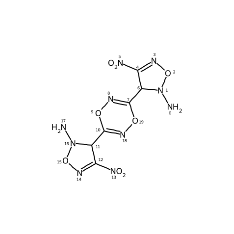 NN1ON=C([N+](=O)[O-])C1C1=NOC(C2C([N+](=O)[O-])=NON2N)=NO1